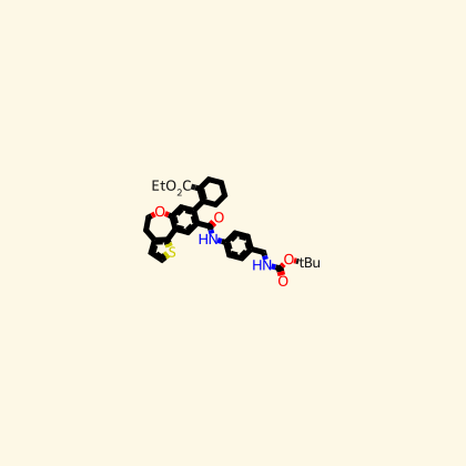 CCOC(=O)C1=C(c2cc3c(cc2C(=O)Nc2ccc(CNC(=O)OC(C)(C)C)cc2)-c2sccc2CCO3)CCCC1